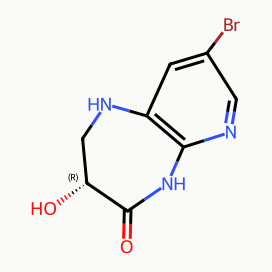 O=C1Nc2ncc(Br)cc2NC[C@H]1O